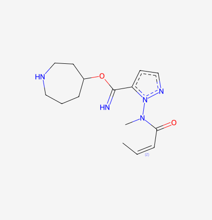 C/C=C\C(=O)N(C)n1nccc1C(=N)OC1CCCNCC1